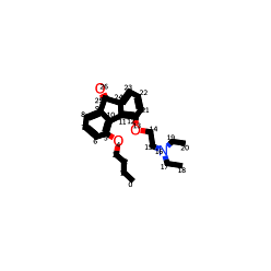 CCCCOc1cccc2c1-c1c(OCCN(CC)CC)cccc1C2=O